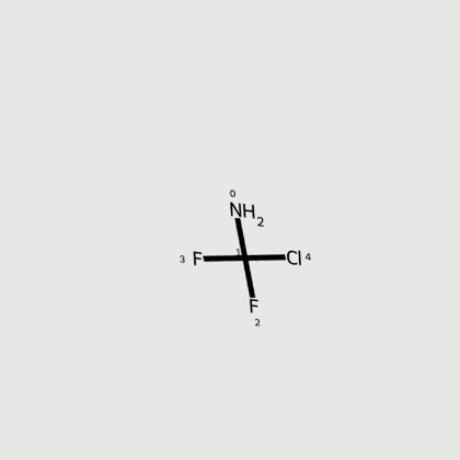 NC(F)(F)Cl